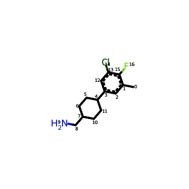 Cc1cc(C2CCC(CN)CC2)cc(Cl)c1F